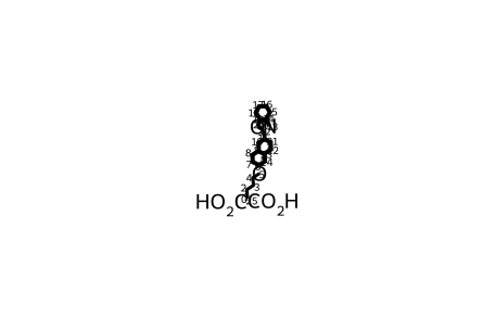 O=C(O)C(CCCOc1ccc2cc(-c3nc4ccccc4o3)ccc2c1)C(=O)O